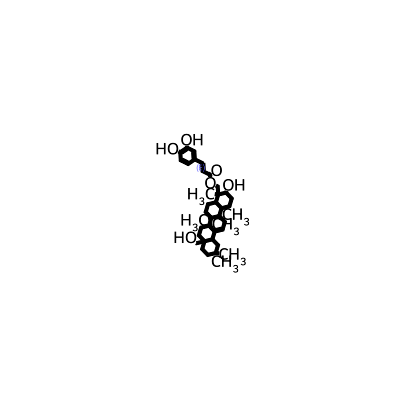 CC1(C)CCC2(CO)CCC3(C)C(=CCC4C5(C)CCC(O)C(C)(COC(=O)/C=C/c6ccc(O)c(O)c6)C5CCC43C)C2C1